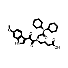 COc1ccc2c(C(=O)C(=O)N(CCCC(=O)O)CC(=O)N(C3CCCCC3)C3CCCCC3)c[nH]c2c1